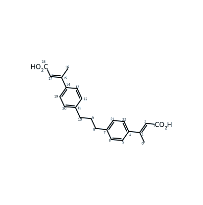 CC(=CC(=O)O)c1ccc(CCCc2ccc(C(C)=CC(=O)O)cc2)cc1